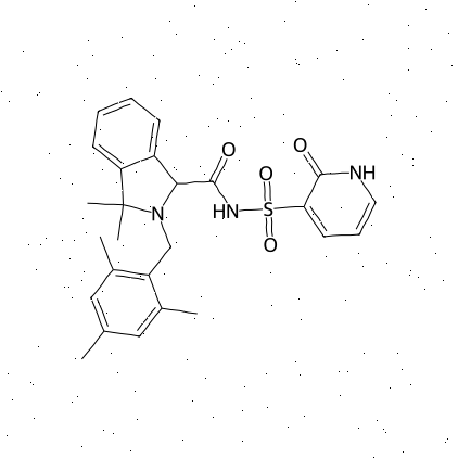 Cc1cc(C)c(CN2C(C(=O)NS(=O)(=O)c3ccc[nH]c3=O)c3ccccc3C2(C)C)c(C)c1